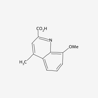 COc1cccc2c(C)cc(C(=O)O)nc12